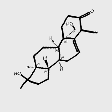 CC1C(=O)CC[C@@]2(CO)C1=CC[C@@H]1[C@H]2CC[C@@]2(C)[C@H]1CCC2(C)O